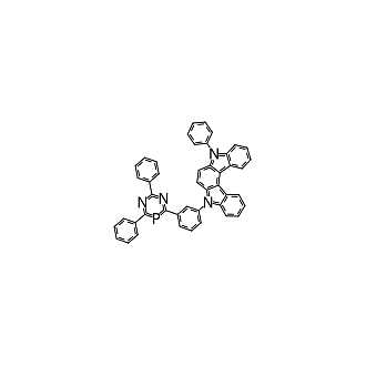 c1ccc(-c2nc(-c3ccccc3)pc(-c3cccc(-n4c5ccccc5c5c6c7ccccc7n(-c7ccccc7)c6ccc54)c3)n2)cc1